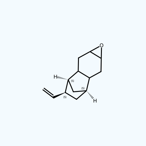 C=C[C@@H]1C[C@H]2C[C@@H]1C1CC3OC3CC12